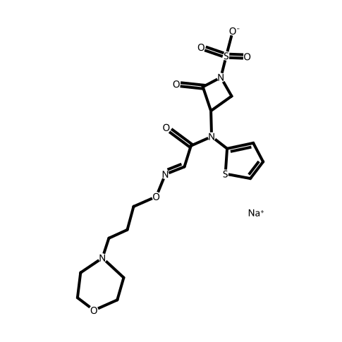 O=C(C=NOCCCN1CCOCC1)N(c1cccs1)C1CN(S(=O)(=O)[O-])C1=O.[Na+]